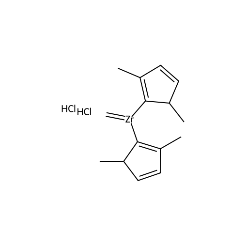 Cl.Cl.[CH2]=[Zr]([C]1=C(C)C=CC1C)[C]1=C(C)C=CC1C